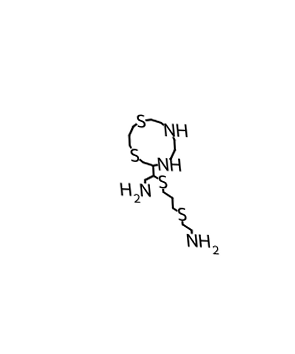 NCCSCCCSC(CN)C1CSCCCSCCNCCCN1